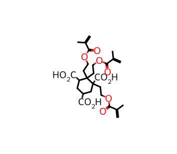 C=C(C)C(=O)OCCC1(C(=O)O)CC(C(=O)O)CC(C(=O)O)C1(CCOC(=O)C(=C)C)CCOC(=O)C(=C)C